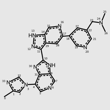 Cc1cn(-c2cncc3[nH]c(-c4n[nH]c5cnc(-c6cncc(CN(C)C)c6)cc45)nc23)cn1